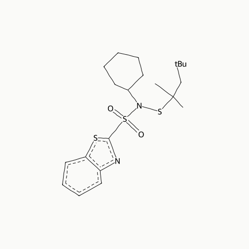 CC(C)(C)CC(C)(C)SN(C1CCCCC1)S(=O)(=O)c1nc2ccccc2s1